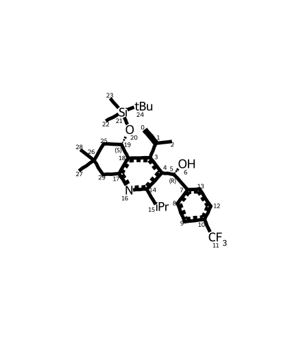 C=C(C)c1c([C@H](O)c2ccc(C(F)(F)F)cc2)c(C(C)C)nc2c1[C@@H](O[Si](C)(C)C(C)(C)C)CC(C)(C)C2